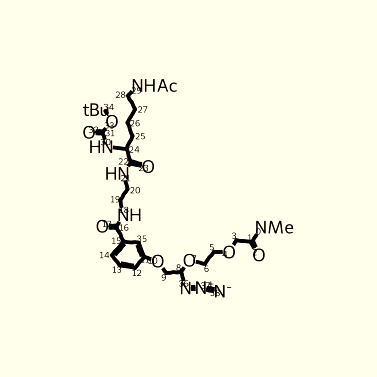 CNC(=O)COCCOC(COc1cccc(C(=O)NCCNC(=O)C(CCCCNC(C)=O)NC(=O)OC(C)(C)C)c1)N=[N+]=[N-]